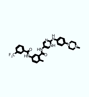 Cc1ccc(NC(=O)c2cccc(C(F)(F)F)c2)cc1C(=O)NC1=CNC(Nc2ccc(N3CCN(C)CC3)cc2)N=C1